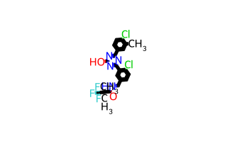 Cc1cc(-c2nc(O)nc(-c3cc(CNC(=O)C(C)(C)C(F)(F)F)ccc3Cl)n2)ccc1Cl